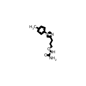 Cc1ccc(-n2cnc(CCCONC(N)=O)c2)cc1